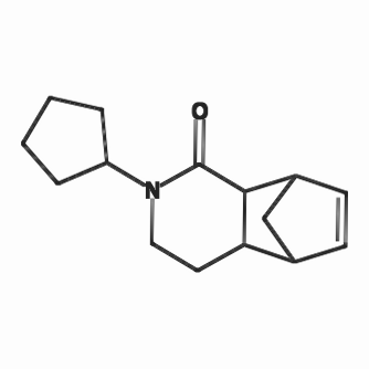 O=C1C2C3C=CC(C3)C2CCN1C1CCCC1